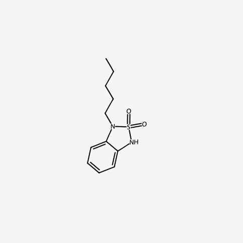 CCCCCN1c2ccccc2NS1(=O)=O